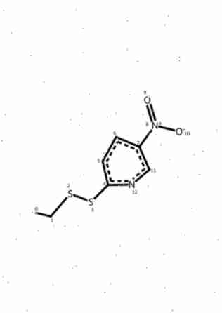 [CH2]CSSc1ccc([N+](=O)[O-])cn1